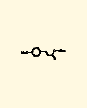 CCCCCCOC(=O)C=Cc1ccc(OC)cc1